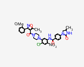 C=C1CN(c2ccc(C(=O)Nc3cc(N4CCN(C(=O)c5c(-c6ccccc6OC)noc5C)CC4)c(Cl)cc3[N+](=O)[O-])cc2)C(=O)N1